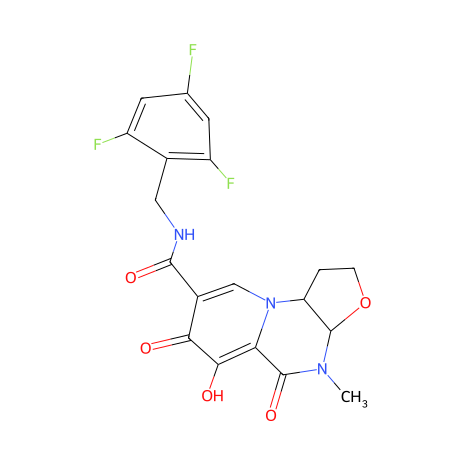 CN1C(=O)c2c(O)c(=O)c(C(=O)NCc3c(F)cc(F)cc3F)cn2C2CCOC21